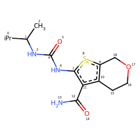 CC(C)C(C)NC(=O)Nc1sc2c(c1C(N)=O)CCOC2